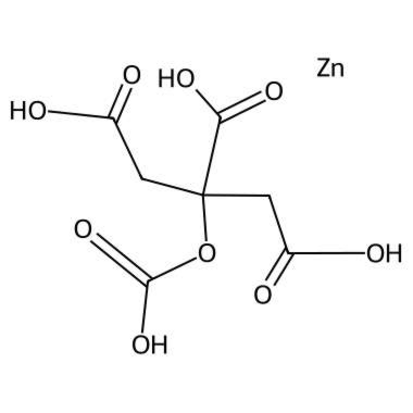 O=C(O)CC(CC(=O)O)(OC(=O)O)C(=O)O.[Zn]